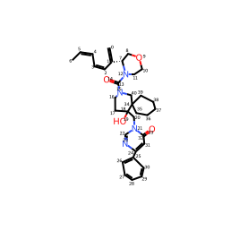 C=C(/C=C\C=C/C)[C@@H]1COCCN1C(=O)N1CCC(O)(Cn2cnc(-c3ccccc3)cc2=O)C2(CCCCC2)C1